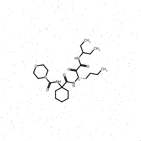 CCCC[C@H](NC(=O)C1(NC(=O)N2CCOCC2)CCCCC1)C(=O)C(=O)NC(CC)CC